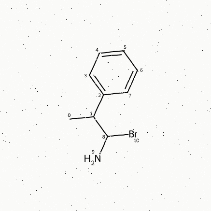 CC(c1ccccc1)C(N)Br